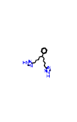 c1ccc(C(CCCCc2nc[nH]n2)CCCCc2nc[nH]n2)cc1